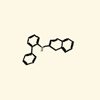 C1=CC(Nc2ccccc2-c2ccccc2)Cc2ccccc21